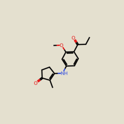 CCC(=O)c1ccc(NC2=C(C)C(=O)CC2)cc1OC